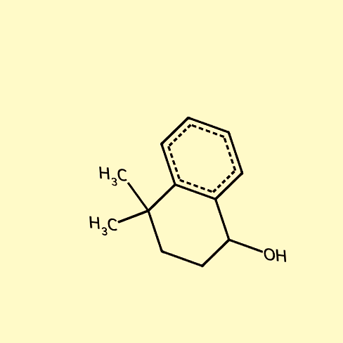 CC1(C)CCC(O)c2ccccc21